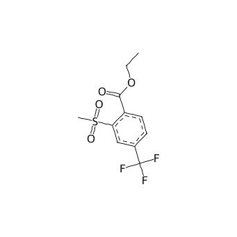 CCOC(=O)c1ccc(C(F)(F)F)cc1S(C)(=O)=O